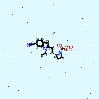 CCn1c(C=C[C@@H]2CCN2C(=O)O)cc2ccc(C#N)cc21